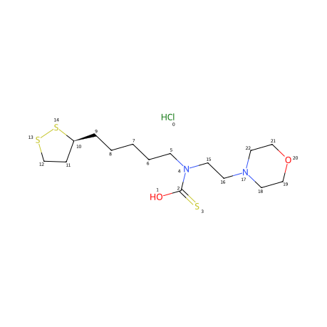 Cl.OC(=S)N(CCCCC[C@H]1CCSS1)CCN1CCOCC1